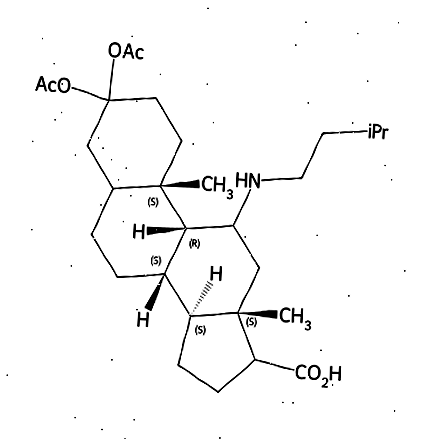 CC(=O)OC1(OC(C)=O)CC[C@@]2(C)C(CC[C@@H]3[C@H]2C(NCCC(C)C)C[C@]2(C)C(C(=O)O)CC[C@@H]32)C1